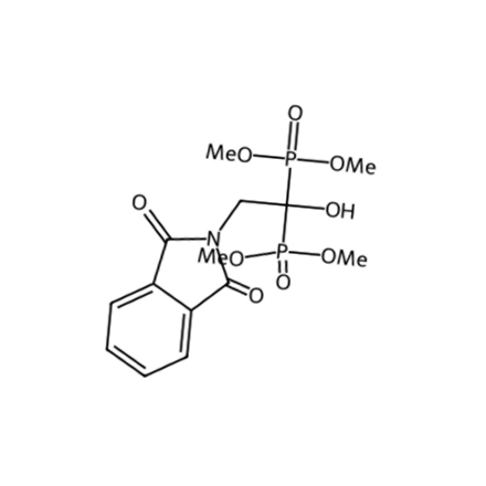 COP(=O)(OC)C(O)(CN1C(=O)c2ccccc2C1=O)P(=O)(OC)OC